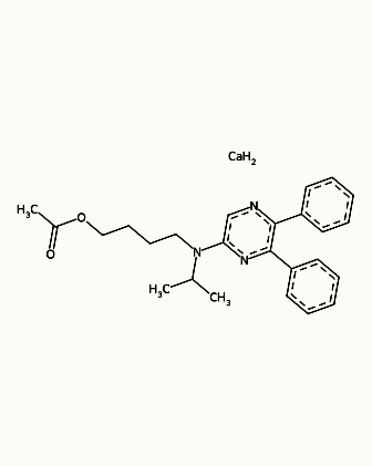 CC(=O)OCCCCN(c1cnc(-c2ccccc2)c(-c2ccccc2)n1)C(C)C.[CaH2]